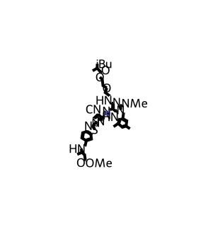 CCC(C)C(C)C(=O)OCCOCCNc1nc(NC)nc(Nc2c(C)cc(C)cc2C)c1/N=N/c1nn(-c2nc3ccc(CNC(C)CC(=O)OC)cc3s2)cc1C#N